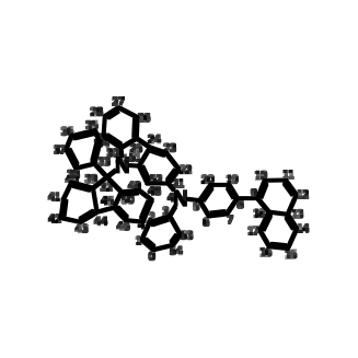 c1ccc(N(c2ccc(-c3cccc4ccccc34)cc2)c2ccc3c4ccccc4n(C4(c5ccccc5)c5ccccc5-c5ccccc54)c3c2)cc1